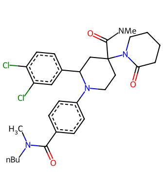 CCCCN(C)C(=O)c1ccc(N2CCC(C(=O)NC)(N3CCCCC3=O)CC2c2ccc(Cl)c(Cl)c2)cc1